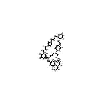 OCCN(CCO)c1ccc(/N=N/c2cccc[n+]2CCCn2cc[n+](CCC[n+]3cccc(/N=N/c4cc5c6c(c4)CCCN6CCC5)c3)c2)cc1